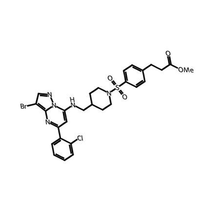 COC(=O)CCc1ccc(S(=O)(=O)N2CCC(CNc3cc(-c4ccccc4Cl)nc4c(Br)cnn34)CC2)cc1